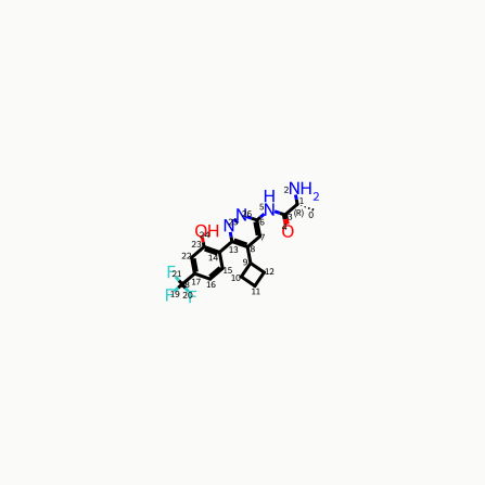 C[C@@H](N)C(=O)Nc1cc(C2CCC2)c(-c2ccc(C(F)(F)F)cc2O)nn1